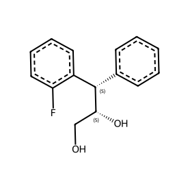 OC[C@@H](O)[C@@H](c1ccccc1)c1ccccc1F